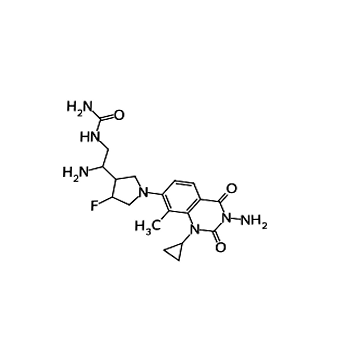 Cc1c(N2CC(F)C(C(N)CNC(N)=O)C2)ccc2c(=O)n(N)c(=O)n(C3CC3)c12